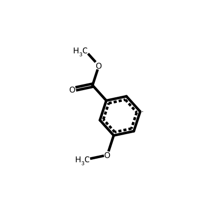 COC(=O)c1c[c]cc(OC)c1